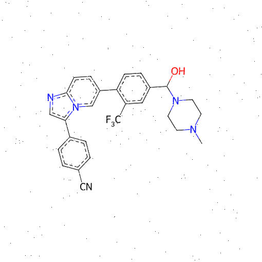 CN1CCN(C(O)c2ccc(-c3ccc4ncc(-c5ccc(C#N)cc5)n4c3)c(C(F)(F)F)c2)CC1